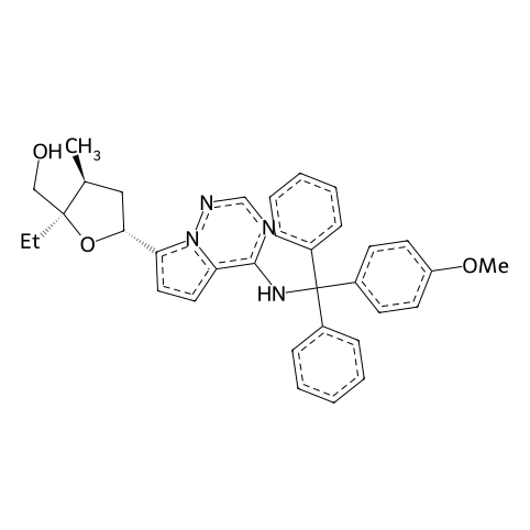 CC[C@@]1(CO)O[C@@H](c2ccc3c(NC(c4ccccc4)(c4ccccc4)c4ccc(OC)cc4)ncnn23)C[C@@H]1C